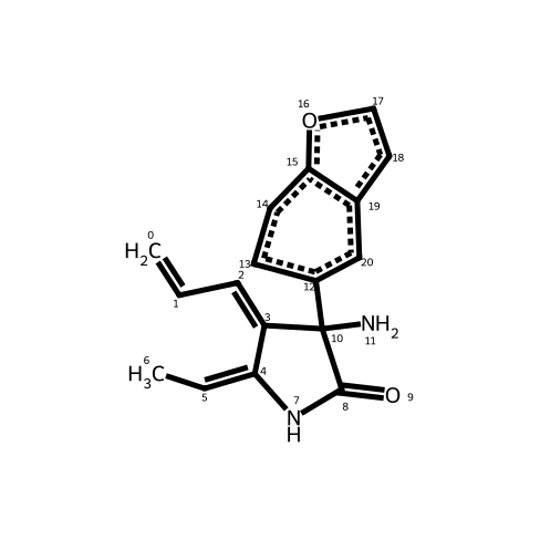 C=C/C=C1\C(=C/C)NC(=O)C1(N)c1ccc2occc2c1